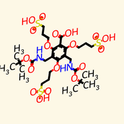 CC(C)(C)OC(=O)NCc1c(OCCCS(=O)(=O)O)c(CNC(=O)OC(C)(C)C)c(OCCCS(=O)(=O)O)c(C(=O)O)c1OCCCS(=O)(=O)O